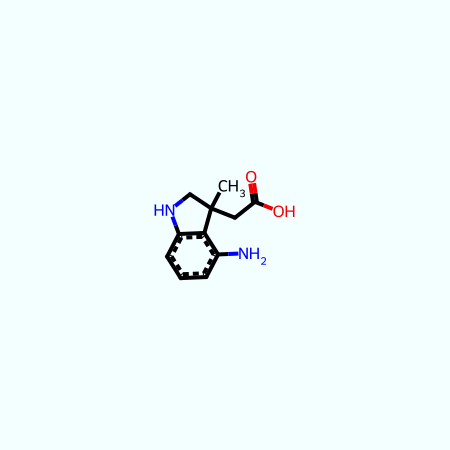 CC1(CC(=O)O)CNc2cccc(N)c21